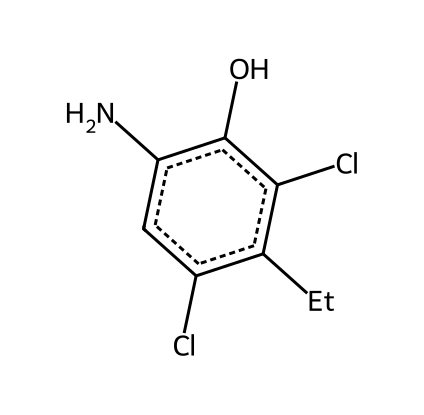 CCc1c(Cl)cc(N)c(O)c1Cl